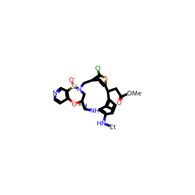 CCNc1ccc2c(C)c1NC[C@@H]1CN(Cc3cc(sc3Cl)C2CC(=O)OC)[S+]([O-])c2cnccc2O1